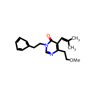 COCCc1ncn(CCc2ccccc2)c(=O)c1C=C(C)C